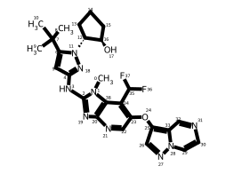 Cn1c(Nc2cc(C(C)(C)C)n([C@@H]3CCC[C@H]3O)n2)nc2ncc(Oc3cnn4ccncc34)c(C(F)F)c21